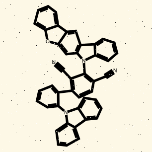 N#Cc1ccc(-c2ccccc2-n2c3ccccc3c3ccccc32)c(C#N)c1-n1c2ccccc2c2cc3c(cc21)oc1ccccc13